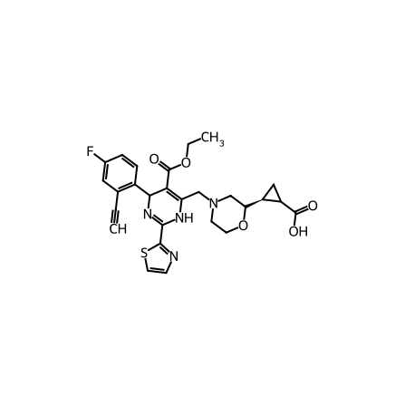 C#Cc1cc(F)ccc1C1N=C(c2nccs2)NC(CN2CCOC([C@H]3CC3C(=O)O)C2)=C1C(=O)OCC